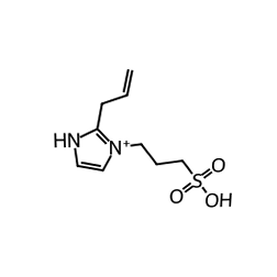 C=CCc1[nH]cc[n+]1CCCS(=O)(=O)O